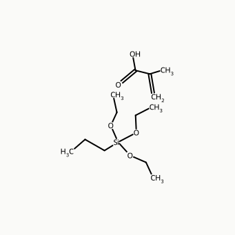 C=C(C)C(=O)O.CCC[Si](OCC)(OCC)OCC